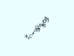 CCC#CCOc1cccc(CNC(=O)c2ccc3ncsc3c2)c1F